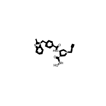 C#CCN1C[C@H](C(=O)NO)[C@H](NC(=O)c2ccc(Cn3c(C)nc4ccccc43)cc2)C1